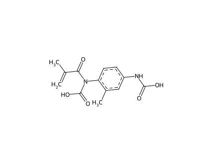 C=C(C)C(=O)N(C(=O)O)c1ccc(NC(=O)O)cc1C